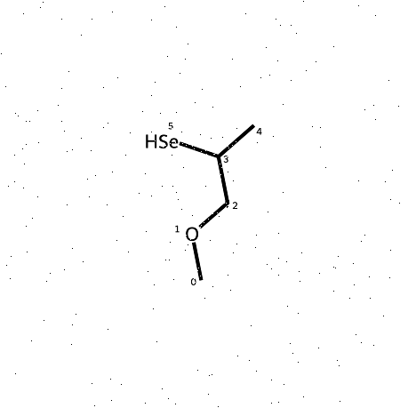 CO[CH]C(C)[SeH]